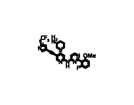 COc1cccc(F)c1-c1nccc(Nc2cc(N3CCC[C@H](N)C3)c(C#Cc3cnn(CC(F)(F)F)c3)cn2)n1